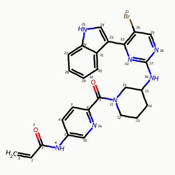 C=CC(=O)Nc1ccc(C(=O)N2CCCC(Nc3ncc(Br)c(-c4c[nH]c5ccccc45)n3)C2)nc1